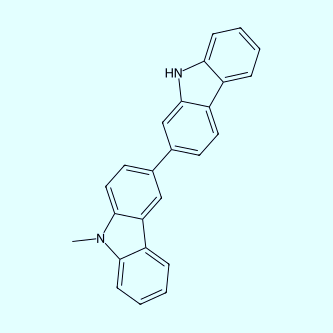 Cn1c2ccccc2c2cc(-c3ccc4c(c3)[nH]c3ccccc34)ccc21